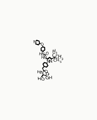 CC(C)(C)c1cc(NC(=O)Nc2ccc(Oc3ccncc3)cc2)n(-c2ccc(CC(=O)NC(CO)C(=O)O)cc2)n1